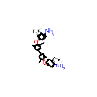 Cc1cc(-c2cc(C)c(Oc3ccc(N)c(C(F)(F)F)c3)c(C)c2)cc(C)c1Oc1ccc(N)c(C(F)(F)F)c1